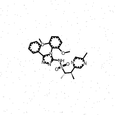 COc1cccc(OC)c1-n1c(NS(=O)(=O)[C@@H](C)[C@H](C)c2cnc(C)cn2)nnc1-c1ccccc1